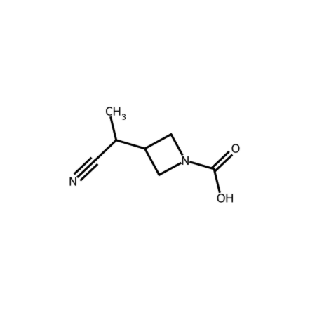 CC(C#N)C1CN(C(=O)O)C1